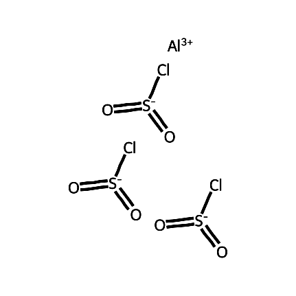 O=[S-](=O)Cl.O=[S-](=O)Cl.O=[S-](=O)Cl.[Al+3]